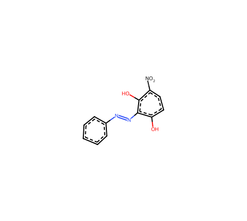 O=[N+]([O-])c1ccc(O)c(N=Nc2ccccc2)c1O